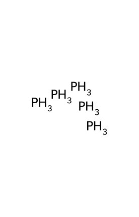 P.P.P.P.P